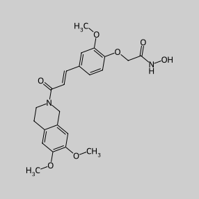 COc1cc2c(cc1OC)CN(C(=O)C=Cc1ccc(OCC(=O)NO)c(OC)c1)CC2